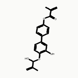 C=C(C)C(=O)Oc1ccc(-c2ccc(OC(O)C(=C)C)c(CCC)c2)cc1